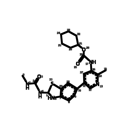 CNC(=O)NC1Nc2ccc(-c3cnc(C)c(NC(=O)OC4CCCCC4)c3)cc2S1